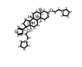 C[C@]12CC[C@H](OCCN3CCCC3)C[C@H]1CC[C@@H]1[C@@H]2CC[C@@]2(C)[C@H]1CC[C@]2(OCCN1CCCC1)c1ccoc1